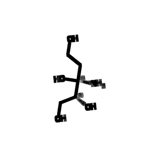 N[C@](O)(CCO)[C@H](O)CO